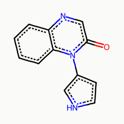 O=c1cnc2ccccc2n1-c1cc[nH]c1